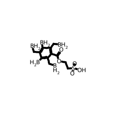 BCc1c(B)c(CB)c(C(=O)OCCS(=O)(=O)O)c(CB)c1B